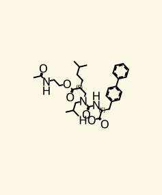 CC(=O)NCCOC(=O)[C@@H](CCC(C)C)CN(CC(C)C)C(=O)N[C@@H](Cc1ccc(-c2ccccc2)cc1)C(=O)O